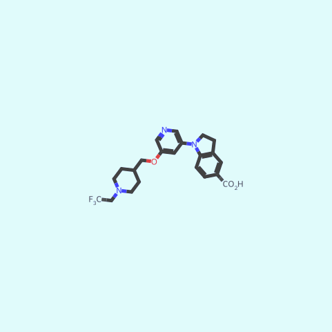 O=C(O)c1ccc2c(c1)CCN2c1cncc(OCC2CCN(CC(F)(F)F)CC2)c1